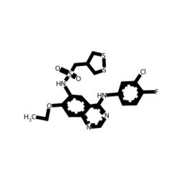 CCOc1cc2ncnc(Nc3ccc(F)c(Cl)c3)c2cc1NS(=O)(=O)CC1CSSC1